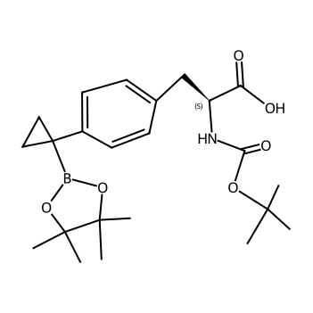 CC(C)(C)OC(=O)N[C@@H](Cc1ccc(C2(B3OC(C)(C)C(C)(C)O3)CC2)cc1)C(=O)O